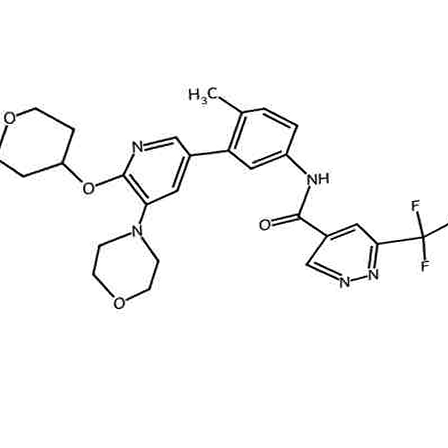 Cc1ccc(NC(=O)c2cnnc(C(F)(F)F)c2)cc1-c1cnc(OC2CCOCC2)c(N2CCOCC2)c1